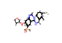 Cc1nc(N[C@H](C)c2cccc(C(F)(F)F)c2C)c2cc(P(C)(C)=O)c(OC3CCOC3)cc2n1